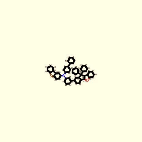 c1ccc(-c2ccc(N(c3cccc(-c4ccc5c(c4)C(c4ccccc4)(c4ccccc4)c4c-5oc5ccccc45)c3)c3ccc4sc5ccccc5c4c3)cc2)cc1